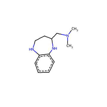 CN(C)CC1CCNc2ccccc2N1